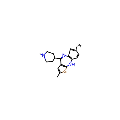 Cc1cc2c(s1)Nc1ccc(C(C)C)cc1N=C2C1CCN(C)CC1